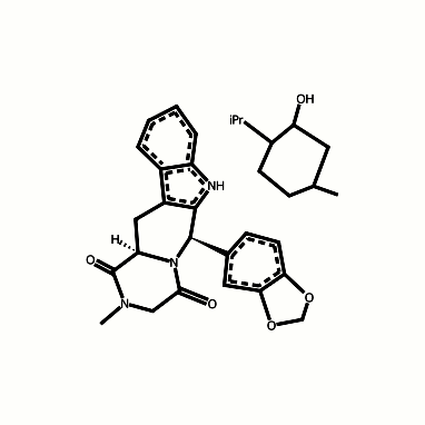 CC1CCC(C(C)C)C(O)C1.CN1CC(=O)N2[C@H](c3ccc4c(c3)OCO4)c3[nH]c4ccccc4c3C[C@@H]2C1=O